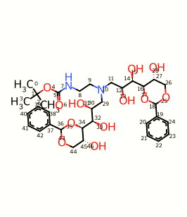 CC(C)(C)OC(=O)NCCN(C[C@H](O)[C@@H](O)[C@@H]1OC(c2ccccc2)OC[C@H]1O)C[C@H](O)[C@@H](O)[C@@H]1OC(c2ccccc2)OC[C@H]1O